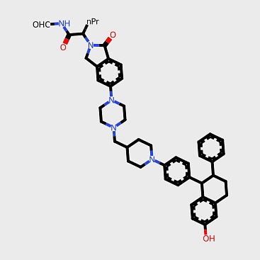 CCCC(C(=O)NC=O)N1Cc2cc(N3CCN(CC4CCN(c5ccc(C6c7ccc(O)cc7CCC6c6ccccc6)cc5)CC4)CC3)ccc2C1=O